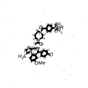 COc1ccc2c(c1)C(c1ccc(Cl)cc1)=N[C@@H](CC(=O)N1CCCN(C(=O)c3ccc([Si](C)(C)O)cc3)CC1)c1nnc(C)n1-2